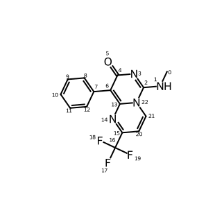 CNc1nc(=O)c(-c2ccccc2)c2nc(C(F)(F)F)ccn12